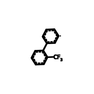 FC(F)(F)c1ccccc1-c1c[c]ccc1